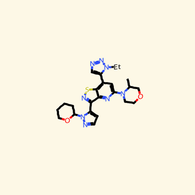 CCn1nncc1-c1cc(N2CCOCC2C)nc2c(-c3ccnn3C3CCCCO3)nsc12